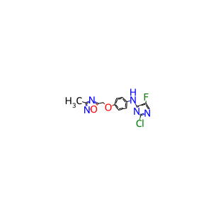 Cc1noc(COc2ccc(Nc3nc(Cl)ncc3F)cc2)n1